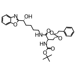 CC(C)(C)OC(=O)NC(CS(=O)(=O)Cc1ccccc1)C(=O)NCCCC[C@@H](O)c1nc2ccccc2o1